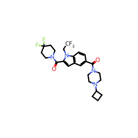 O=C(c1ccc2c(c1)cc(C(=O)N1CCC(F)(F)CC1)n2CC(F)(F)F)N1CCN(C2CCC2)CC1